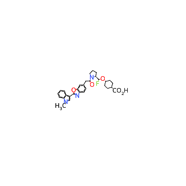 Cn1cc(-c2nc3ccc(CC(=O)N4CCC[C@H]4C(F)OC4CCC(C(=O)O)CC4)cc3o2)c2ccccc21